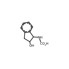 O=C(O)NC1c2ccccc2CC1O